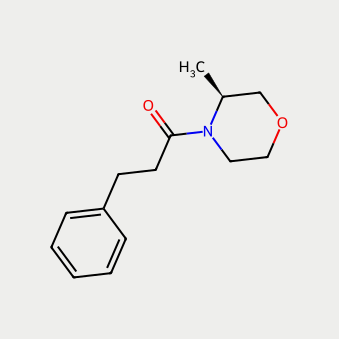 C[C@H]1COCCN1C(=O)CCc1ccccc1